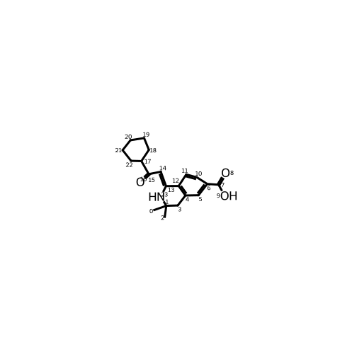 CC1(C)Cc2cc(C(=O)O)ccc2C(=CC(=O)C2CCCCC2)N1